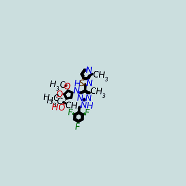 CO[C@@H]1[C@H](OC)[C@@H](C(C)(C)O)C[C@H]1Nc1nc(NCc2c(F)cc(F)cc2F)nc(C)c1-c1nc2c(C)nccc2s1